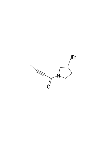 CC#CC(=O)N1CCC(C(C)C)C1